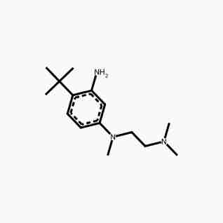 CN(C)CCN(C)c1ccc(C(C)(C)C)c(N)c1